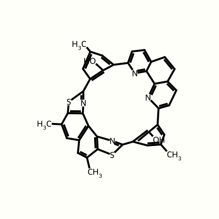 Cc1cc2c(O)c(c1)c1nc3c(s1)c(C)cc1cc(C)c4sc(nc4c13)c1cc(C)cc(c1O)c1ccc3ccc4ccc2nc4c3n1